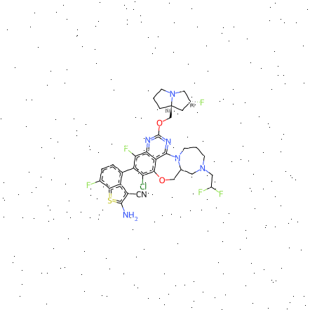 N#Cc1c(N)sc2c(F)ccc(-c3c(Cl)c4c5c(nc(OC[C@@]67CCCN6C[C@H](F)C7)nc5c3F)N3CCCN(CC(F)F)CC3CO4)c12